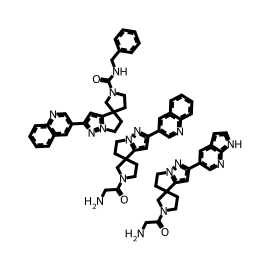 NCC(=O)N1CCC2(CCn3nc(-c4cnc5[nH]ccc5c4)cc32)C1.NCC(=O)N1CCC2(CCn3nc(-c4cnc5ccccc5c4)cc32)C1.O=C(NCc1ccccc1)N1CCC2(CCn3nc(-c4cnc5ccccc5c4)cc32)C1